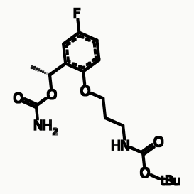 C[C@@H](OC(N)=O)c1cc(F)ccc1OCCCNC(=O)OC(C)(C)C